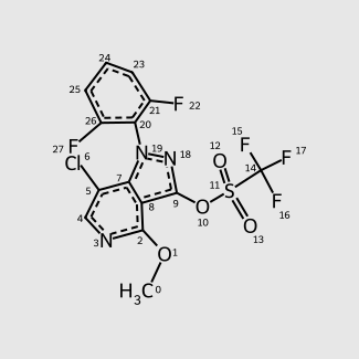 COc1ncc(Cl)c2c1c(OS(=O)(=O)C(F)(F)F)nn2-c1c(F)cccc1F